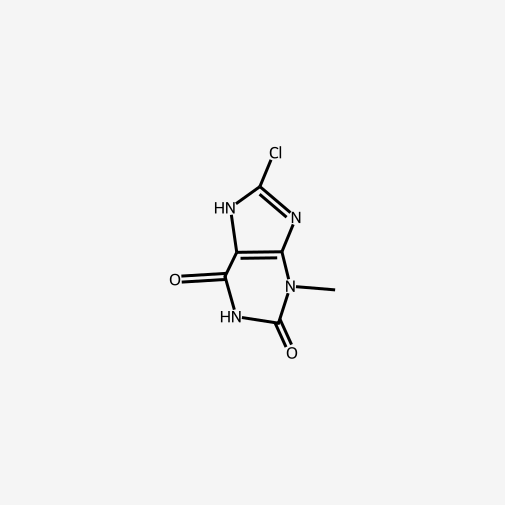 Cn1c(=O)[nH]c(=O)c2[nH]c(Cl)nc21